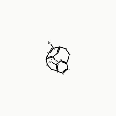 Oc1cc2c(Br)cc1CCc1ccc(cc1Br)CC2